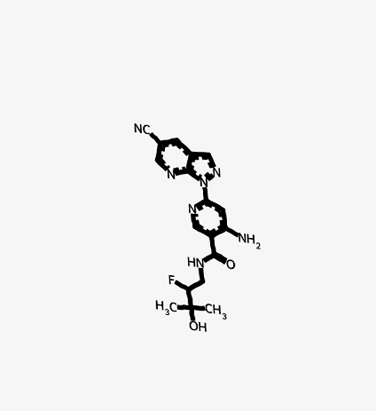 CC(C)(O)C(F)CNC(=O)c1cnc(-n2ncc3cc(C#N)cnc32)cc1N